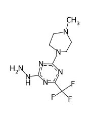 CN1CCN(c2nc(NN)nc(C(F)(F)F)n2)CC1